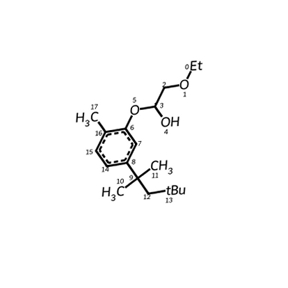 CCOC[C](O)Oc1cc(C(C)(C)CC(C)(C)C)ccc1C